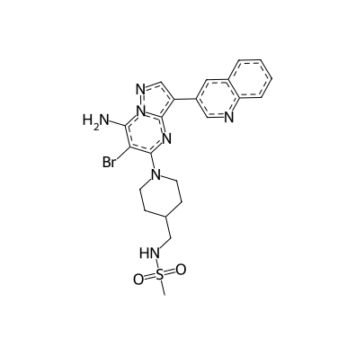 CS(=O)(=O)NCC1CCN(c2nc3c(-c4cnc5ccccc5c4)cnn3c(N)c2Br)CC1